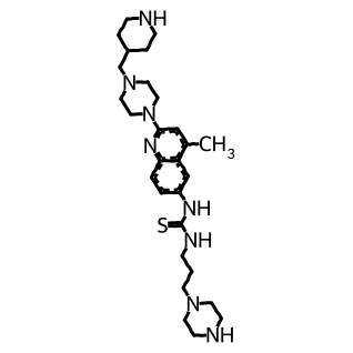 Cc1cc(N2CCN(CC3CCNCC3)CC2)nc2ccc(NC(=S)NCCCN3CCNCC3)cc12